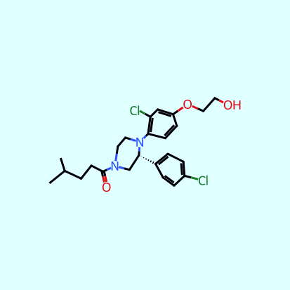 CC(C)CCC(=O)N1CCN(c2ccc(OCCO)cc2Cl)[C@H](c2ccc(Cl)cc2)C1